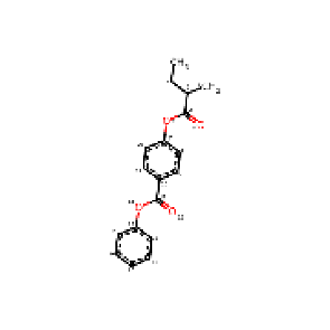 CCC(C)C(=O)Oc1ccc(C(=O)Oc2ccccc2)cc1